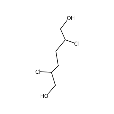 OCC(Cl)CCC(Cl)CO